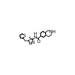 O=C(Nc1nnc(Cc2cccs2)s1)c1ccc2c(c1)CCNC2